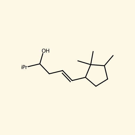 CC(C)C(O)CC=CC1CCC(C)C1(C)C